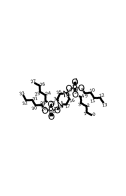 CCCCCOP(=O)(OCCCCC)ON1CCN(OP(=O)(OCCCCC)OCCCCC)CC1